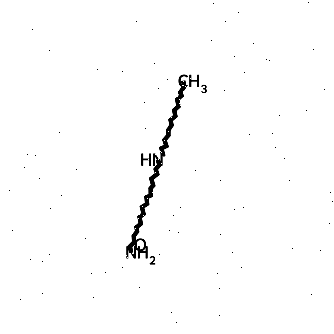 CCCCCCCCCCCCCCCCNCCCCCCCCCCCCCCCCC(=O)CN